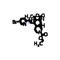 CCOC(=O)N1CCC2[C@H](C[C@H]3C(=O)O[C@H](C)[C@H]3[C@H]2/C=C/c2ccc(Br)cn2)C1